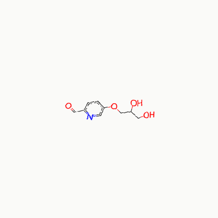 O=Cc1ccc(OCC(O)CO)cn1